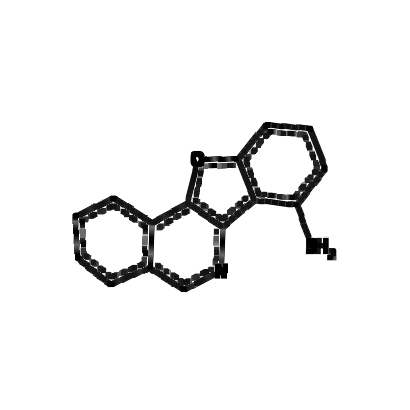 Bc1cccc2oc3c4ccccc4cnc3c12